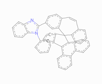 C1=Cc2ccc(-c3nc4ccccc4n3-c3ccccc3)cc2C2(c3ccccc31)c1ccccc1-c1c2c2ccccc2c2ccccc12